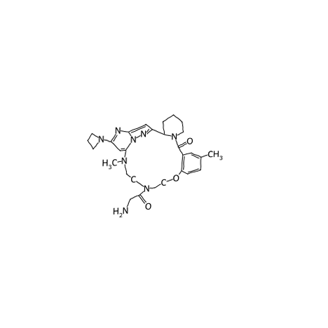 Cc1ccc2c(c1)C(=O)N1CCCCC1c1cc3nc(N4CCC4)cc(n3n1)N(C)CCN(C(=O)CN)CCO2